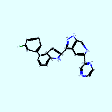 Fc1cccc(-c2cccc3[nH]c(-c4n[nH]c5cnc(-c6cnccn6)cc45)cc23)c1